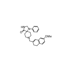 COc1ccc2c(c1)C=C(CN1CCC3(CC1)C(=O)NCN3c1ccccc1)CC2